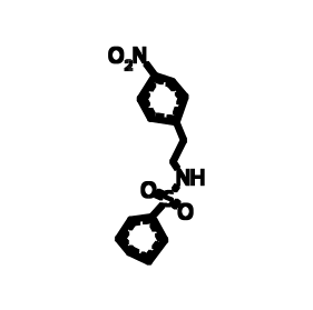 O=[N+]([O-])c1ccc(CCNS(=O)(=O)c2ccccc2)cc1